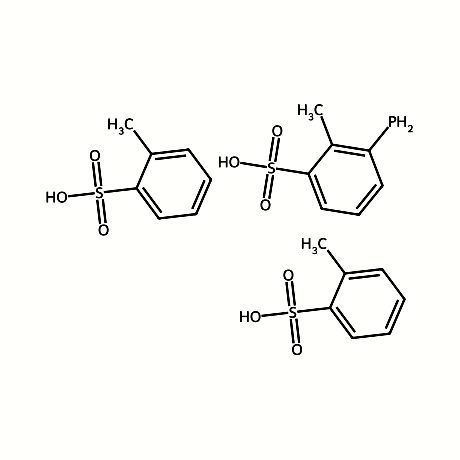 Cc1c(P)cccc1S(=O)(=O)O.Cc1ccccc1S(=O)(=O)O.Cc1ccccc1S(=O)(=O)O